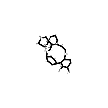 FC1CCC2OCCN3CCC[C@@]4(COCCN4)[C@@H]3COC3CCC(CC3)C2C1F